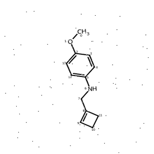 COc1ccc(NCC2=CCC2)cc1